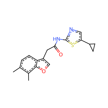 Cc1ccc2c(CC(=O)Nc3ncc(C4CC4)s3)coc2c1C